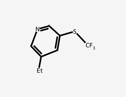 CCc1cn[c]c(SC(F)(F)F)c1